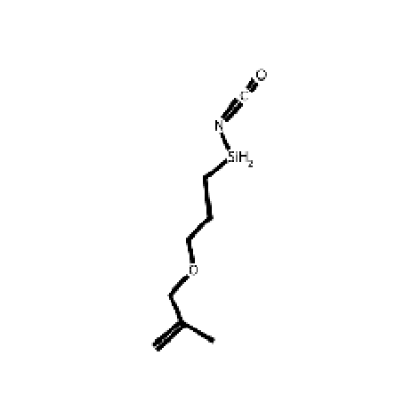 C=C(C)COCCC[SiH2]N=C=O